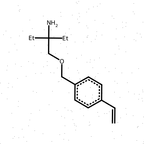 C=Cc1ccc(COCC(N)(CC)CC)cc1